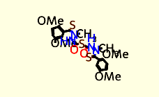 COc1ccc(OC)c(C(=S)N(C)NC(=O)SC(=O)NN(C)C(=S)c2cc(OC)ccc2OC)c1